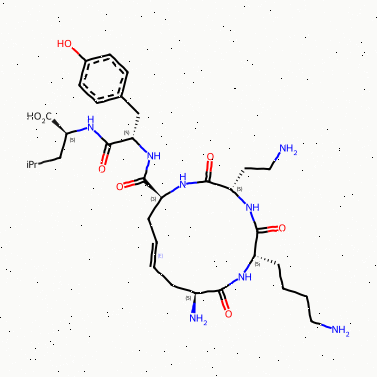 CC(C)C[C@H](NC(=O)[C@H](Cc1ccc(O)cc1)NC(=O)[C@@H]1C/C=C/C[C@H](N)C(=O)N[C@@H](CCCCN)C(=O)N[C@@H](CCN)C(=O)N1)C(=O)O